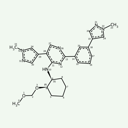 COCO[C@@H]1CCCC[C@@H]1Nc1nc(-c2cccc(-c3cnn(C)c3)c2)ncc1-c1cnn(C)c1